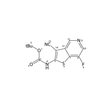 CC(C)(C)OC(=O)Nc1sc2c(F)cncc2c1C#N